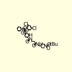 CC(C)(C)OC(=O)N1CCC(CNC(=O)CCNC(=O)c2ccc(S(=O)(=O)N(Oc3ccc(Cl)cc3Cl)c3ccccc3)cc2)CC1